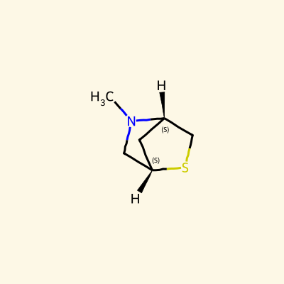 CN1C[C@@H]2C[C@H]1CS2